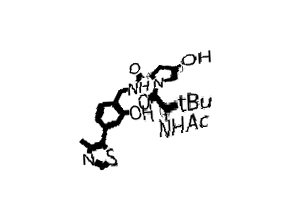 CC(=O)N[C@H](C(=O)N1C[C@H](O)C[C@H]1C(=O)NCc1ccc(-c2scnc2C)cc1O)C(C)(C)C